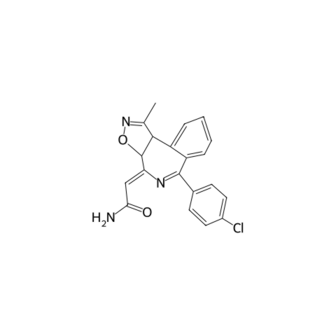 CC1=NOC2/C(=C/C(N)=O)N=C(c3ccc(Cl)cc3)c3ccccc3C12